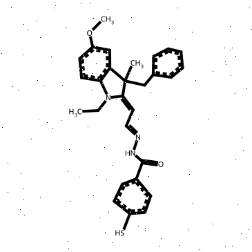 CCN1/C(=C\C=N\NC(=O)c2ccc(S)cc2)C(C)(Cc2ccccc2)c2cc(OC)ccc21